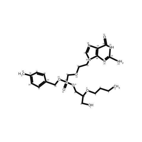 CCCCOC(CO)COP(=O)(COCCn1cnc2c(=O)[nH]c(N)nc21)OCc1ccc(C)cc1